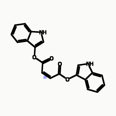 O=C(/C=C\C(=O)Oc1c[nH]c2ccccc12)Oc1c[nH]c2ccccc12